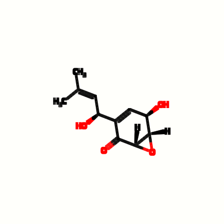 CC(C)=C[C@H](O)C1=C[C@@H](O)[C@@H]2O[C@@H]2C1=O